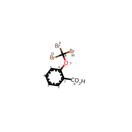 O=C(O)c1ccccc1OC(Br)(Br)Br